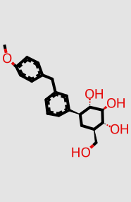 COc1ccc(Cc2cccc([C@@H]3C[C@H](CO)[C@@H](O)[C@H](O)[C@H]3O)c2)cc1